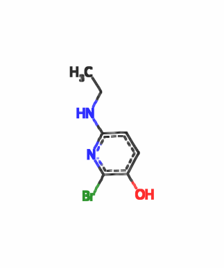 CCNc1ccc(O)c(Br)n1